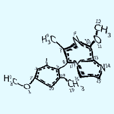 COc1ccc(-c2c(C)nc(OC)c3nccn23)c(C)c1